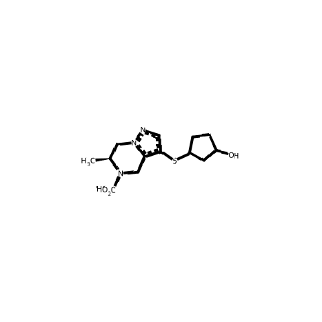 C[C@H]1Cn2ncc(SC3CCC(O)C3)c2CN1C(=O)O